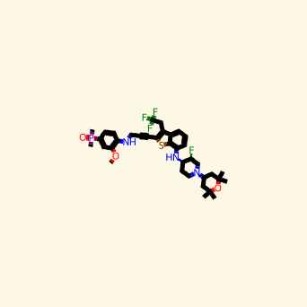 COc1cc(P(C)(C)=O)ccc1NCC#Cc1sc2c(N[C@@H]3CCN(C4CC(C)(C)OC(C)(C)C4)C[C@@H]3F)cccc2c1CC(F)(F)F